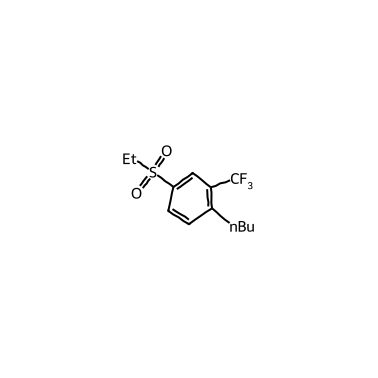 CCCCc1ccc(S(=O)(=O)CC)cc1C(F)(F)F